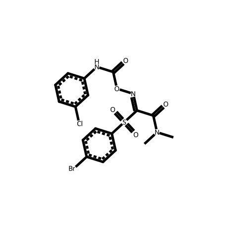 CN(C)C(=O)/C(=N/OC(=O)Nc1cccc(Cl)c1)S(=O)(=O)c1ccc(Br)cc1